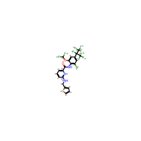 O=C(Nc1c(Br)cc(C(F)(C(F)(F)F)C(F)(F)F)cc1OC(F)F)c1cccc(NCc2cccs2)n1